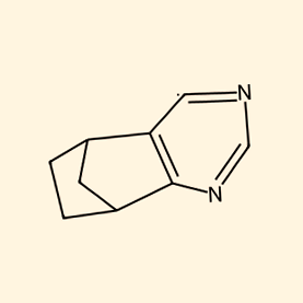 [c]1ncnc2c1C1CCC2C1